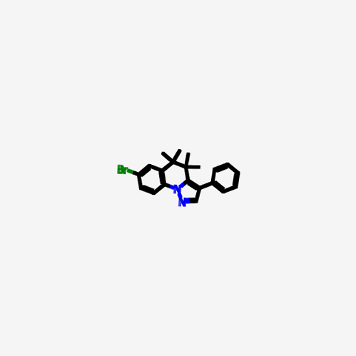 CC1(C)c2cc(Br)ccc2-n2ncc(-c3ccccc3)c2C1(C)C